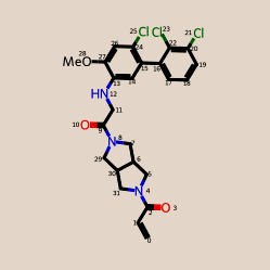 C=CC(=O)N1CC2CN(C(=O)CNc3cc(-c4cccc(Cl)c4Cl)c(Cl)cc3OC)CC2C1